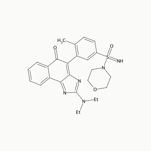 CCN(CC)C1=NC2=C(c3cc(S(=N)(=O)N4CCOCC4)ccc3C)C(=O)c3ccccc3C2=N1